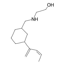 C=C(/C=C\C)C1CCCC(CNCCO)C1